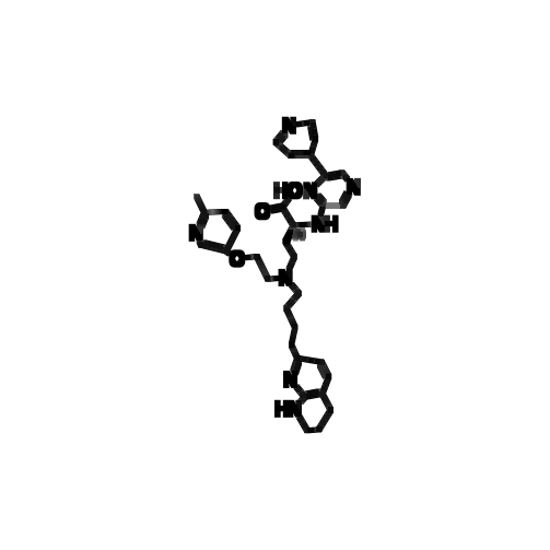 Cc1ccc(OCCN(CCCCc2ccc3c(n2)NCCC3)CC[C@H](Nc2cncc(-c3ccncc3)n2)C(=O)O)cn1